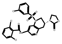 O=C(Nc1cnc2c(c1)N(S(=O)(=O)c1cccc(Cl)c1)C[C@H](N1CCOC1=O)C2)c1c(Cl)cccc1Cl